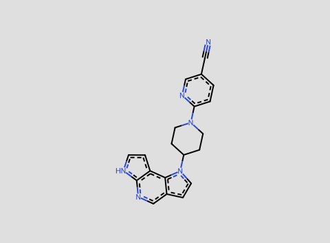 N#Cc1ccc(N2CCC(n3ccc4cnc5[nH]ccc5c43)CC2)nc1